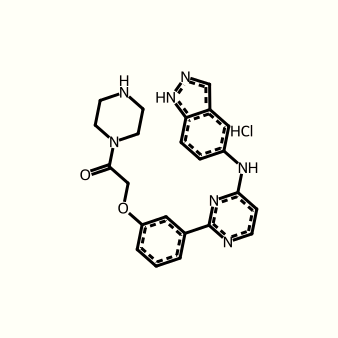 Cl.O=C(COc1cccc(-c2nccc(Nc3ccc4[nH]ncc4c3)n2)c1)N1CCNCC1